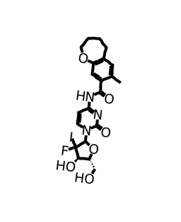 Cc1cc2c(cc1C(=O)Nc1ccn(C3O[C@H](CO)[C@@H](O)C3(F)I)c(=O)n1)OCCCC2